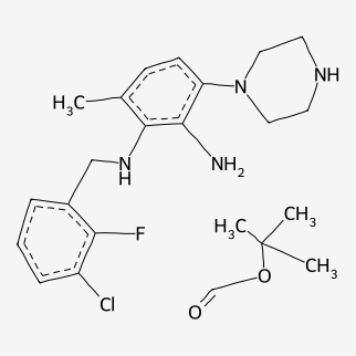 CC(C)(C)OC=O.Cc1ccc(N2CCNCC2)c(N)c1NCc1cccc(Cl)c1F